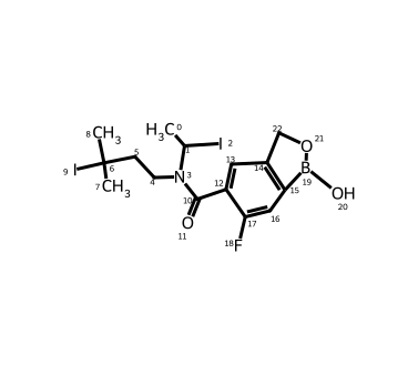 CC(I)N(CCC(C)(C)I)C(=O)c1cc2c(cc1F)B(O)OC2